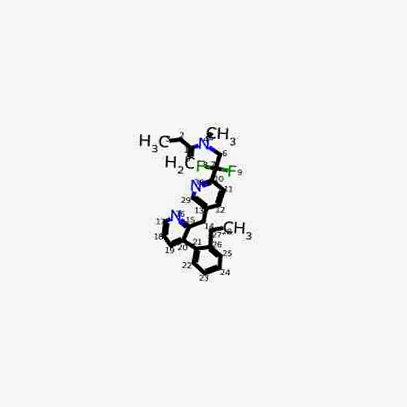 C=C(CC)N(C)CC(F)(F)c1ccc(Cc2ncccc2-c2ccccc2CC)cn1